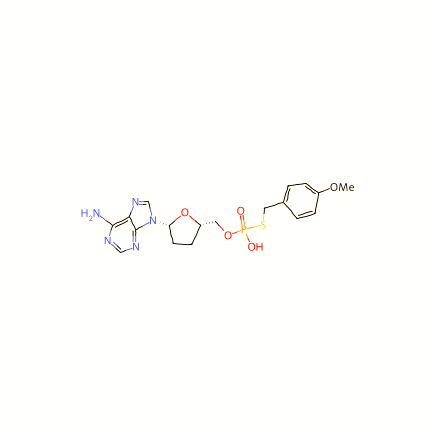 COc1ccc(CSP(=O)(O)OC[C@@H]2CC[C@H](n3cnc4c(N)ncnc43)O2)cc1